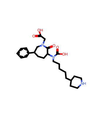 O=C(O)CN1CC(c2ccccc2)CCC(N(CCCCCC2CCNCC2)C(=O)O)C1=O